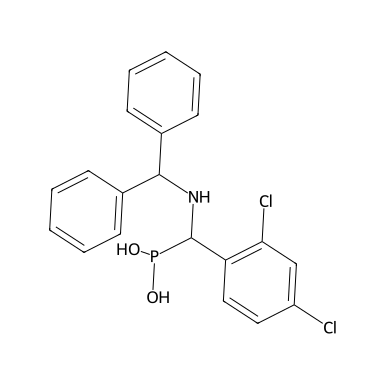 OP(O)C(NC(c1ccccc1)c1ccccc1)c1ccc(Cl)cc1Cl